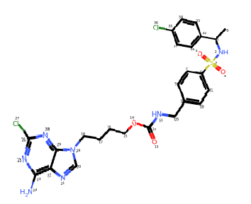 CC(NS(=O)(=O)c1ccc(CNC(=O)OCCCCn2cnc3c(N)nc(Cl)nc32)cc1)c1ccc(Cl)cc1